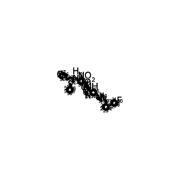 O=[N+]([O-])c1cc(S(=O)(=O)Nc2ncnc3cc(N4CCN(Cc5ccccc5-c5ccc(F)cc5)CC4)ccc23)ccc1NC(CCN1CCOCC1)CSc1ccccc1